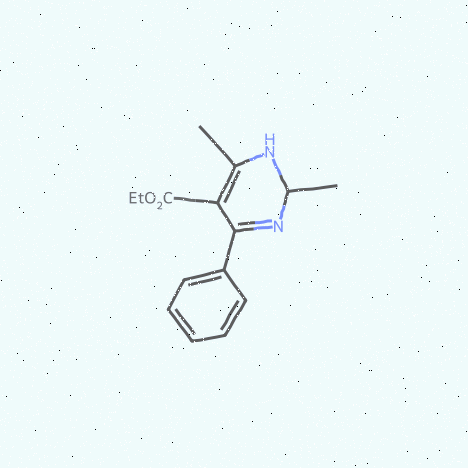 CCOC(=O)C1=C(C)NC(C)N=C1c1ccccc1